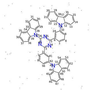 c1cc(-c2nc(-c3cccc(-n4c5ccccc5c5ccccc54)c3)nc(-n3c4ccccc4c4ccccc43)n2)cc(-n2c3ccccc3c3ccccc32)c1